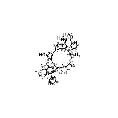 CCn1c(-c2cccnc2[C@H](C)OC)c2c3cc(ccc31)-c1cc(O)cc(c1)C[C@H](NC(=O)C(C(C)C)N(C)C(=O)C1CN3CCCN1CC3)C(=O)N1CCC[C@H](N1)C(=O)OCC(C)(C)C2